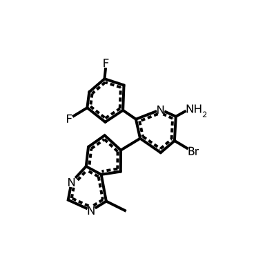 Cc1ncnc2ccc(-c3cc(Br)c(N)nc3-c3cc(F)cc(F)c3)cc12